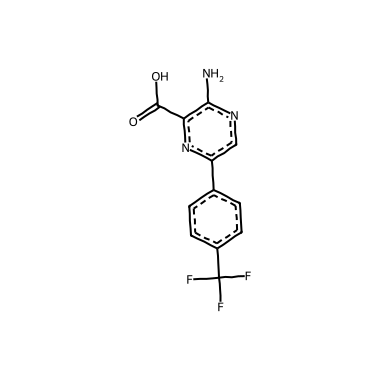 Nc1ncc(-c2ccc(C(F)(F)F)cc2)nc1C(=O)O